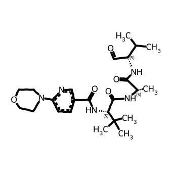 CC(C)[C@@H](C=O)NC(=O)[C@H](C)NC(=O)[C@@H](NC(=O)c1ccc(N2CCOCC2)nc1)C(C)(C)C